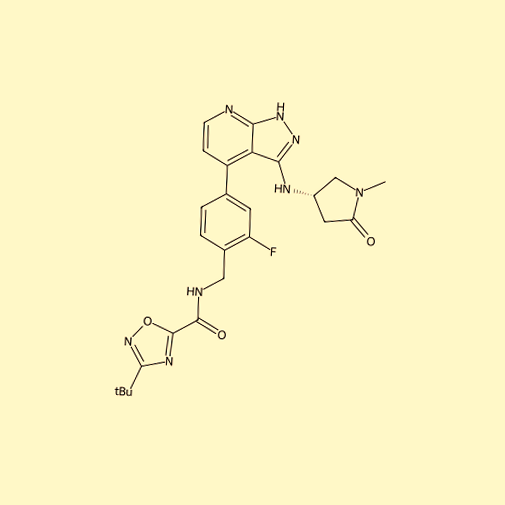 CN1C[C@@H](Nc2n[nH]c3nccc(-c4ccc(CNC(=O)c5nc(C(C)(C)C)no5)c(F)c4)c23)CC1=O